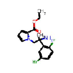 CCOC(=O)c1cccn1CC(C)(N)c1cc(Br)ccc1F